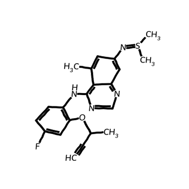 C#CC(C)Oc1cc(F)ccc1Nc1ncnc2cc(N=S(C)C)cc(C)c12